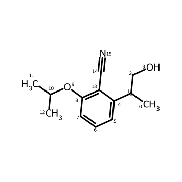 C[C](CO)c1cccc(OC(C)C)c1C#N